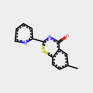 Cc1ccc2sc(-c3ccccn3)nc(=O)c2c1